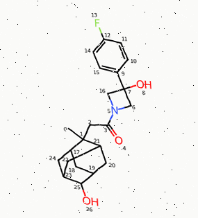 CC1(CC(=O)N2CC(O)(c3ccc(F)cc3)C2)C2CC3CC1CC(C2)C3O